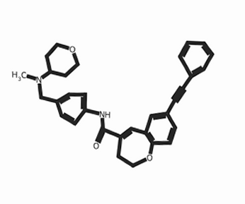 CN(Cc1ccc(NC(=O)C2=Cc3cc(C#Cc4ccccc4)ccc3OCC2)cc1)C1CCOCC1